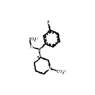 O=C(O)N1CCC[C@@H](N(OS(=O)(=O)O)c2cccc(F)c2)C1